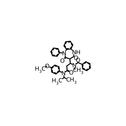 COc1ccc(N(C(=O)CC(C2C(=O)Nc3ccccc3N(c3ccccc3)C2=O)N(C)C(=O)c2ccccc2)C(C)C)cc1